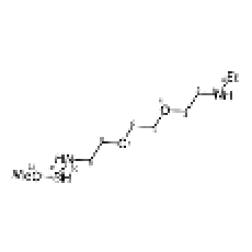 CCNCCOCCOCCNBOC